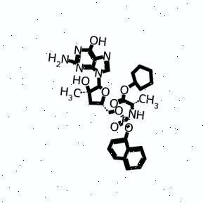 C[C@H](NP(=O)(OC[C@@H]1C[C@@](C)(O)C(n2cnc3c(O)nc(N)nc32)O1)Oc1cccc2ccccc12)C(=O)OC1CCCCC1